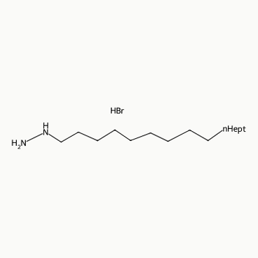 Br.CCCCCCCCCCCCCCCCNN